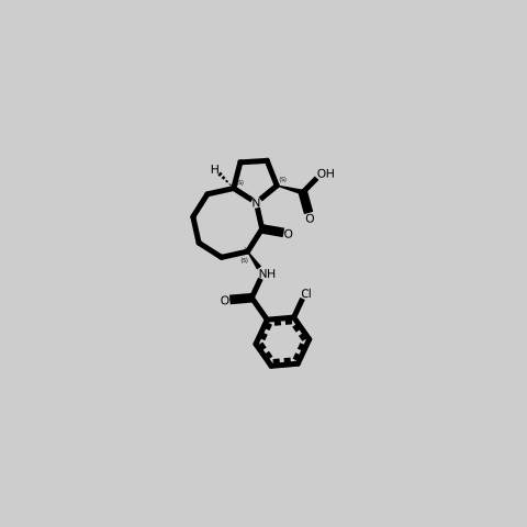 O=C(N[C@H]1CCCC[C@H]2CC[C@@H](C(=O)O)N2C1=O)c1ccccc1Cl